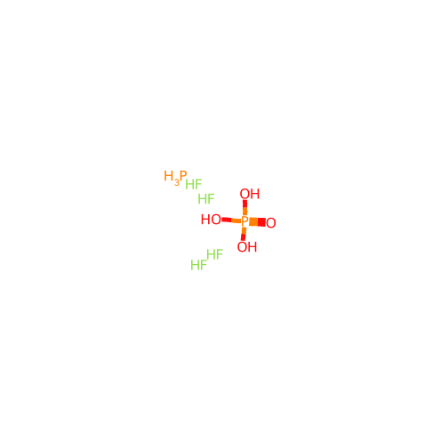 F.F.F.F.O=P(O)(O)O.P